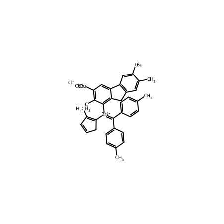 CC1=[C]([Zr+2](=[C](c2ccc(C)cc2)c2ccc(C)cc2)[c]2c(C)c(C(C)(C)C)cc3c2Cc2cc(C)c(C(C)(C)C)cc2-3)CC=C1.[Cl-].[Cl-]